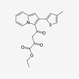 CCOC(=O)C(=O)CC(=O)c1c(-c2cc(C)cs2)cc2ccccn12